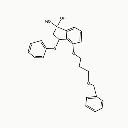 OS1(O)CC(Sc2ccccc2)c2c(OCCCOCc3ccccc3)cccc21